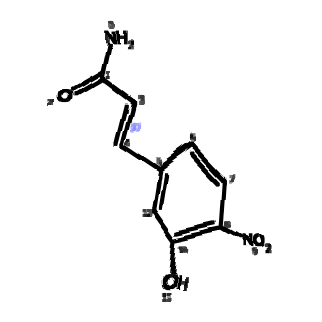 NC(=O)/C=C/c1ccc([N+](=O)[O-])c(O)c1